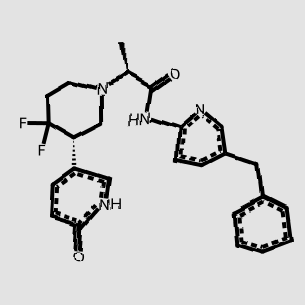 C[C@@H](C(=O)Nc1ccc(Cc2ccccc2)cn1)N1CCC(F)(F)[C@@H](c2ccc(=O)[nH]c2)C1